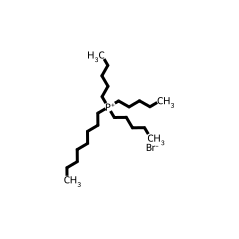 CCCCCCCC[P+](CCCCC)(CCCCC)CCCCC.[Br-]